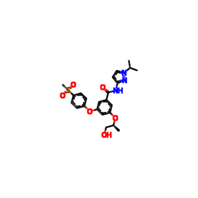 CC(C)n1ccc(NC(=O)c2cc(Oc3ccc(S(C)(=O)=O)cc3)cc(O[C@@H](C)CO)c2)n1